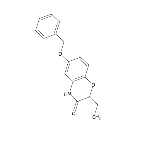 CCC1Oc2ccc(OCc3ccccc3)cc2NC1=O